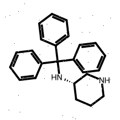 c1ccc(C(N[C@H]2CCCNC2)(c2ccccc2)c2ccccc2)cc1